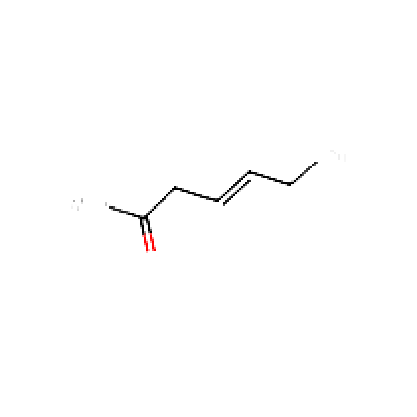 [CH2]CCCCC=CCC(=O)OC